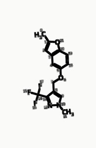 Cc1cc2cc(OCc3cn(C)nc3C(F)(F)F)ccc2o1